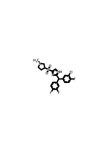 CN1CCC(S(=O)(=O)c2c[nH]c(C(c3ccc(F)c(F)c3)c3ccc(F)c(Cl)c3)n2)C1